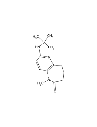 CN1C(=O)CCCc2nc(NC(C)(C)C)ccc21